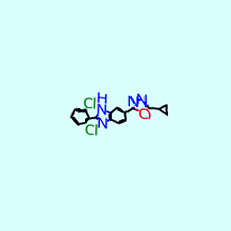 Clc1cccc(Cl)c1-c1nc2ccc(-c3nnc(C4CC4)o3)cc2[nH]1